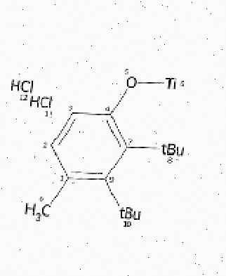 Cc1ccc([O][Ti])c(C(C)(C)C)c1C(C)(C)C.Cl.Cl